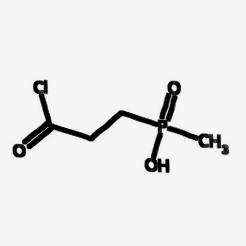 CP(=O)(O)CCC(=O)Cl